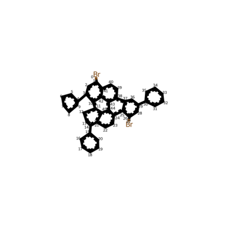 Brc1cc(-c2ccccc2)c2c3ccc(-c4ccccc4)c4ccc5c6c(Br)cc(-c7ccccc7)cc6c6ccc1c2c6c5c43